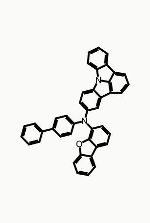 c1ccc(-c2ccc(N(c3ccc4c(c3)c3cccc5c6ccccc6n4c53)c3cccc4c3oc3ccccc34)cc2)cc1